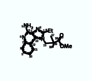 CCc1nc2c(N)nc3ccccc3c2n1CC(C)(C)C(=O)OC